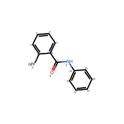 CCCc1ccccc1C(=O)Nc1ccccc1